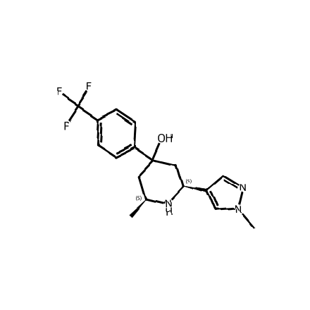 C[C@H]1CC(O)(c2ccc(C(F)(F)F)cc2)C[C@@H](c2cnn(C)c2)N1